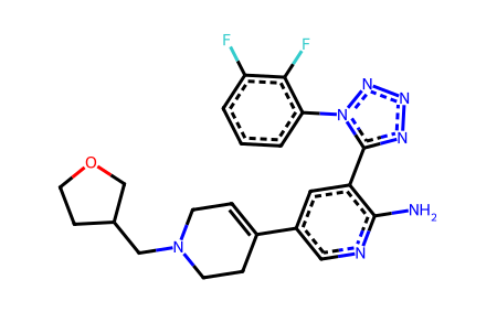 Nc1ncc(C2=CCN(CC3CCOC3)CC2)cc1-c1nnnn1-c1cccc(F)c1F